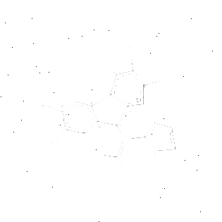 C[C](C)=[Zr+2]([C]1=CC=CC1)[CH]1c2cc(C(C)(C)C)c(C(C)(C)C)cc2-c2cc(C(C)(C)C)c(C(C)(C)C)cc21.[Cl-].[Cl-]